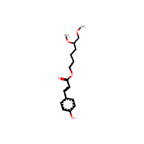 O=C(/C=C/c1ccc(O)cc1)OCCCCC(CO[N+](=O)[O-])O[N+](=O)[O-]